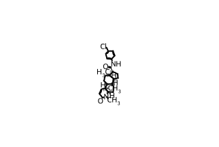 CN1C(=O)C=C[C@]2(C)[C@H]3CC[C@]4(C)[C@@H](C(=O)Nc5ccc(Cl)cc5)CC[C@H]4[C@@H]3CC[C@@H]12